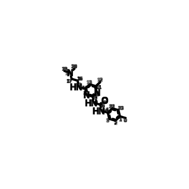 Cc1ccc(NC(=O)Nc2nc(C)cc(NCCN(C)C)n2)cc1